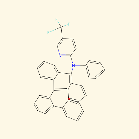 FC(F)(F)c1ccc(N(c2ccccc2)c2c3ccccc3c(-c3ccccc3-c3ccccc3)c3ccccc23)nc1